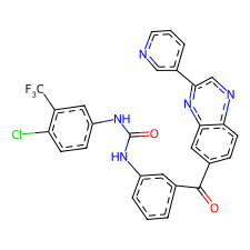 O=C(Nc1cccc(C(=O)c2ccc3ncc(-c4cccnc4)nc3c2)c1)Nc1ccc(Cl)c(C(F)(F)F)c1